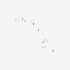 C#CCCCN(CCCOCCCN1CCC(N)CC1)C(=O)OC(C)(C)C